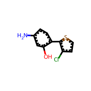 Nc1ccc(-c2sccc2Cl)c(O)c1